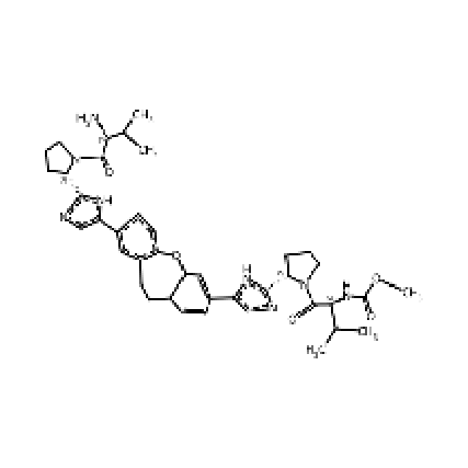 COC(=O)N[C@H](C(=O)N1CCC[C@H]1c1ncc(C2=CC3Oc4ccc(-c5cnc([C@@H]6CCCN6C(=O)[C@@H](N)C(C)C)[nH]5)cc4CCC3C=C2)[nH]1)C(C)C